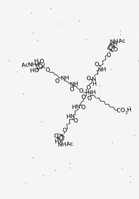 CC(=O)N[C@H]1[C@@H]2OC[C@@](COCCCCC(=O)NCCCNC(=O)CCOCC(COCCC(=O)NCCCNC(=O)CCCCOC[C@@]34CC[C@@H](NC(C)=O)[C@H](OC3)O4)(COCCC(=O)NCCCNC(=O)CCCCOC[C@@]34CC[C@@H](NC(C)=O)[C@H](OC3)O4)NC(=O)CCCCCCCCCCC(=O)O)(C[C@@H]1O)O2